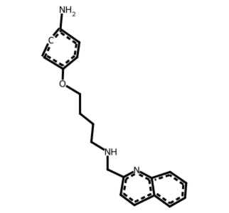 Nc1ccc(OCCCCNCc2ccc3ccccc3n2)cc1